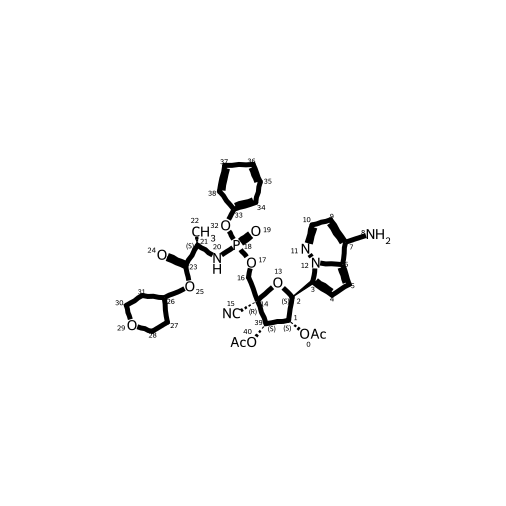 CC(=O)O[C@H]1[C@H](c2ccc3c(N)ccnn23)O[C@](C#N)(COP(=O)(N[C@@H](C)C(=O)OC2CCOCC2)Oc2ccccc2)[C@H]1OC(C)=O